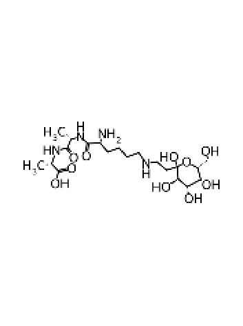 C[C@H](NC(=O)[C@H](C)NC(=O)[C@@H](N)CCCCNCC[C@]1(O)O[C@H](CO)[C@H](O)[C@H](O)[C@H]1O)C(=O)O